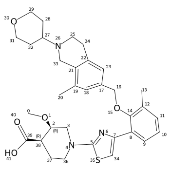 CO[C@H]1CN(c2nc(-c3cccc(C)c3OCc3cc(C)c4c(c3)CCN(C3CCOCC3)C4)cs2)CC[C@H]1C(=O)O